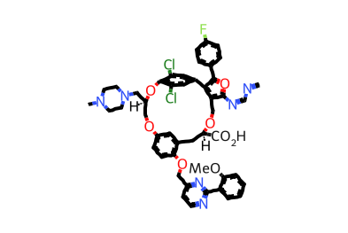 C=N/C=N\c1oc(-c2ccc(F)cc2)c2c1CO[C@@H](C(=O)O)Cc1cc(ccc1OCc1ccnc(-c3ccccc3OC)n1)OC[C@@H](CN1CCN(C)CC1)Oc1c(Cl)cc-2cc1Cl